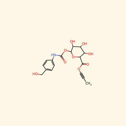 CC#COC(=O)C1OC(OC(=O)Nc2ccc(CO)cc2)C(O)C(O)C1O